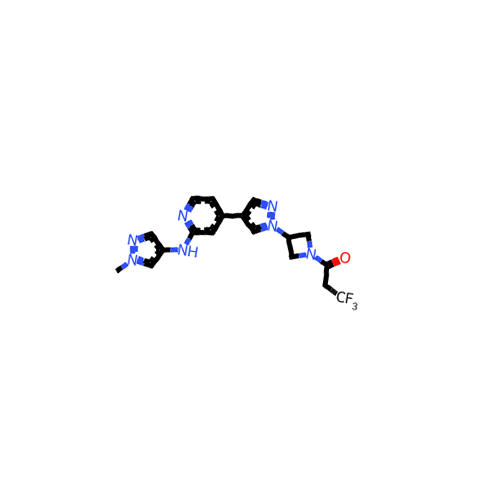 Cn1cc(Nc2cc(-c3cnn(C4CN(C(=O)CC(F)(F)F)C4)c3)ccn2)cn1